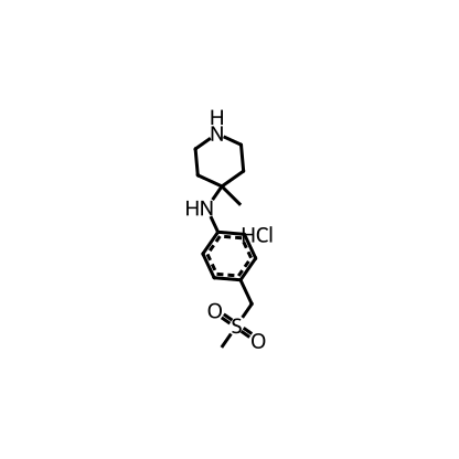 CC1(Nc2ccc(CS(C)(=O)=O)cc2)CCNCC1.Cl